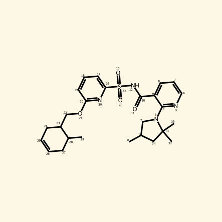 CC1CN(c2ncccc2C(=O)NS(=O)(=O)c2cccc(OCC3CC=CCC3C)n2)C(C)(C)C1